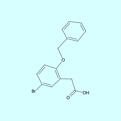 O=C(O)Cc1cc(Br)ccc1OCc1ccccc1